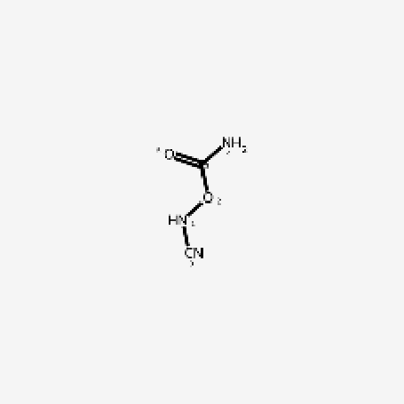 N#CNOC(N)=O